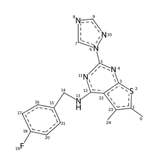 Cc1sc2nc(-n3cncn3)nc(NCc3ccc(F)cc3)c2c1C